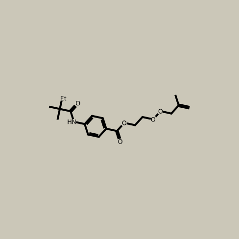 C=C(C)COOCCOC(=O)c1ccc(NC(=O)C(C)(C)CC)cc1